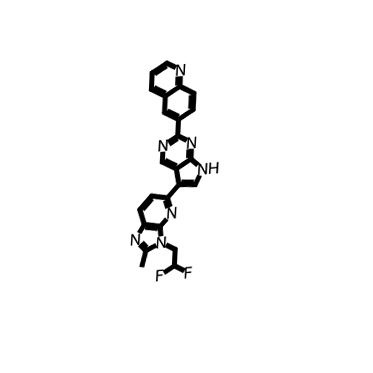 Cc1nc2ccc(-c3c[nH]c4nc(-c5ccc6ncccc6c5)ncc34)nc2n1CC(F)F